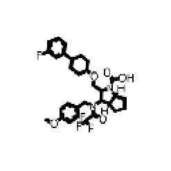 COc1ccc(CN(C(=O)C(F)(F)F)C2C(COC3CCC(c4cccc(F)c4)CC3)N(C(=O)O)[C@@H]3CCC[C@H]23)cc1